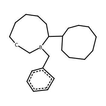 c1ccc(CB2CCCCCCCC2C2CCCCCCCC2)cc1